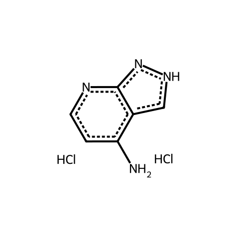 Cl.Cl.Nc1ccnc2n[nH]cc12